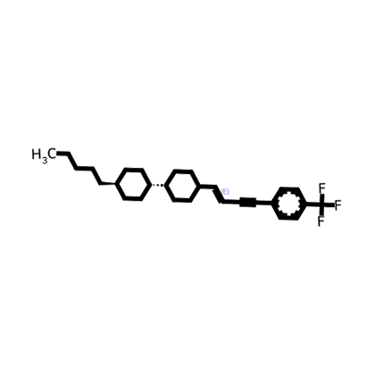 CCCCC[C@H]1CC[C@H](C2CCC(/C=C/C#Cc3ccc(C(F)(F)F)cc3)CC2)CC1